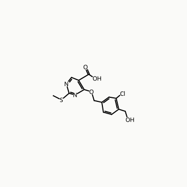 CSc1ncc(C(=O)O)c(OCc2ccc(CO)c(Cl)c2)n1